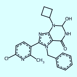 Cc1nc(Cl)ccc1-c1nc2c(n1Cc1ccccc1)C(=O)NC(O)N2C1CCC1